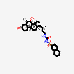 CC[C@@H]1C2C[C@H](O)CC[C@]2(C)[C@H]2CC[C@]3(C)[C@@H]([C@H](C)CCNC(=O)NS(=O)(=O)c4ccc5c(c4)CCCC5)CC[C@H]3[C@@H]2[C@@H]1O